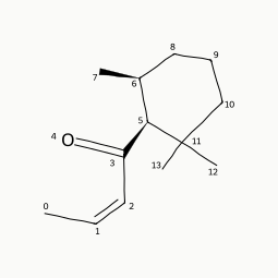 C/C=C\C(=O)[C@H]1[C@@H](C)CCCC1(C)C